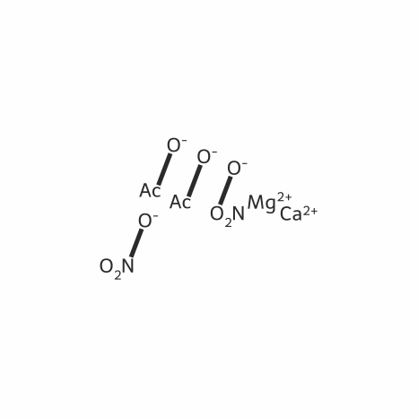 CC(=O)[O-].CC(=O)[O-].O=[N+]([O-])[O-].O=[N+]([O-])[O-].[Ca+2].[Mg+2]